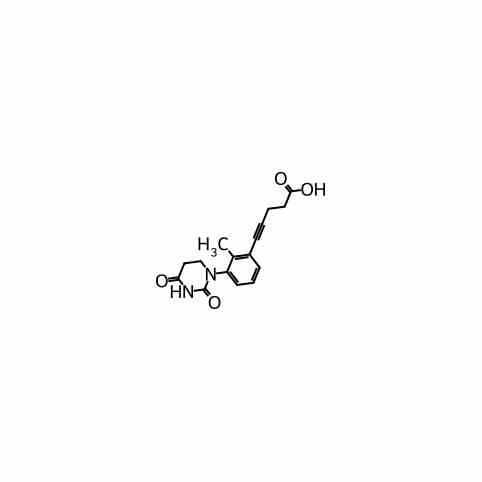 Cc1c(C#CCCC(=O)O)cccc1N1CCC(=O)NC1=O